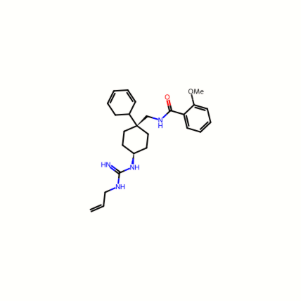 C=CCNC(=N)N[C@H]1CC[C@](CNC(=O)c2ccccc2OC)(C2C=CC=CC2)CC1